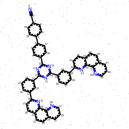 N#Cc1ccc(-c2ccc(-c3nc(-c4cccc(-c5ccc6ccc7cccnc7c6n5)c4)nc(-c4cccc(-c5ccc6ccc7cccnc7c6n5)c4)n3)cc2)cc1